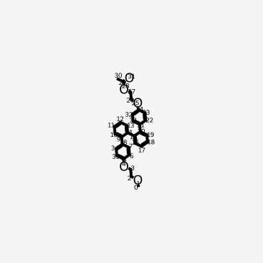 COCCOc1ccc(-c2ccccc2-c2ccccc2-c2ccc(OCCOC(C)=O)cc2)cc1